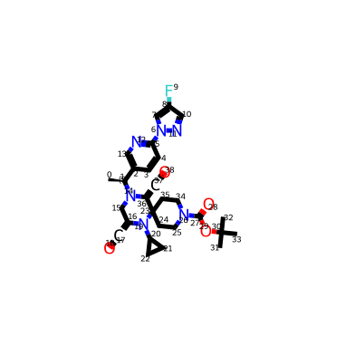 C[C@@H](c1ccc(-n2cc(F)cn2)nc1)N1CC(=C=O)N(C2CC2)C2(CCN(C(=O)OC(C)(C)C)CC2)C1=C=O